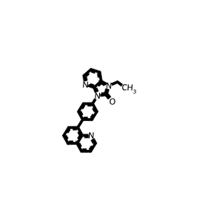 CCn1c(=O)n(-c2ccc(-c3cccc4cccnc34)cc2)c2ncccc21